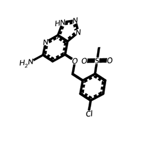 CS(=O)(=O)c1ccc(Cl)cc1COc1cc(N)nc2[nH]nnc12